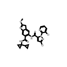 COC1=Nc2cc(C(=O)NC3(C4CC4)CC3)c(NC(=O)c3cc(Cl)nn3-c3ncccc3Cl)cc2C1